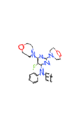 CCN(c1ccccc1)c1nc(N2CCOCC2)nc(N2CCOCC2)c1F